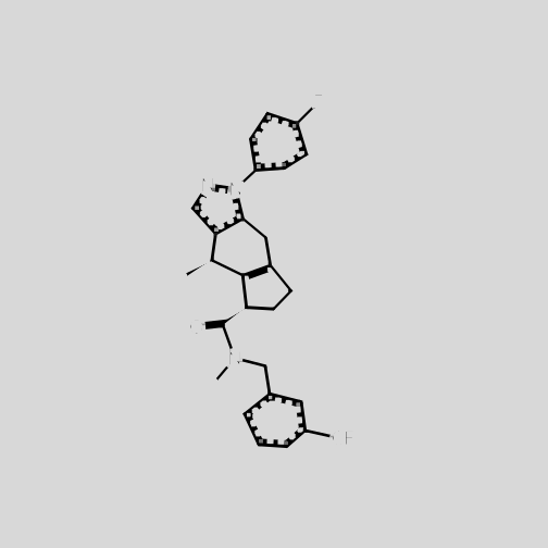 C[C@@H]1C2=C(CC[C@H]2C(=O)N(C)Cc2cccc(C(F)(F)F)c2)Cc2c1cnn2-c1ccc(F)cc1